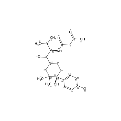 CC(C)[C@@H](NC(=O)CC(=O)O)C(=O)N1CC[C@](O)(c2ccc(Cl)cc2)C(C)(C)C1